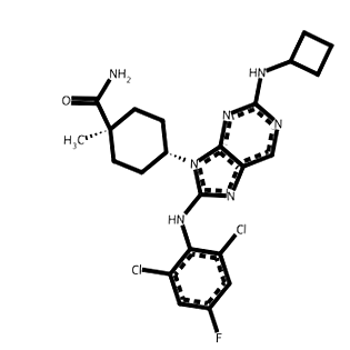 C[C@]1(C(N)=O)CC[C@H](n2c(Nc3c(Cl)cc(F)cc3Cl)nc3cnc(NC4CCC4)nc32)CC1